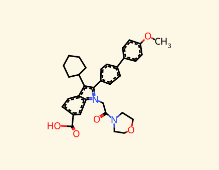 COc1ccc(-c2ccc(-c3c(C4CCCCC4)c4ccc(C(=O)O)cc4n3CC(=O)N3CCOCC3)cc2)cc1